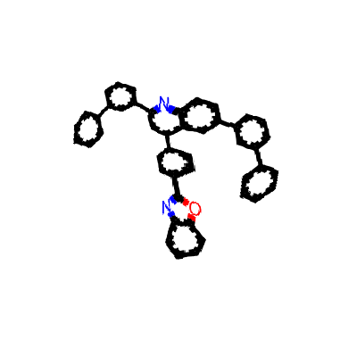 c1ccc(-c2cccc(-c3ccc4nc(-c5cccc(-c6ccccc6)c5)cc(-c5ccc(-c6nc7ccccc7o6)cc5)c4c3)c2)cc1